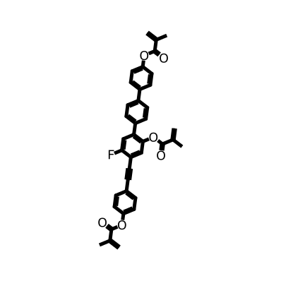 C=C(C)C(=O)Oc1ccc(C#Cc2cc(OC(=O)C(=C)C)c(-c3ccc(-c4ccc(OC(=O)C(=C)C)cc4)cc3)cc2F)cc1